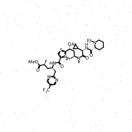 CCN1CCCC[C@@H]1C(=O)N[C@H](C(=O)N(C)[C@H](C[C@@H](OC(C)=O)c1nc(C(=O)N[C@@H](Cc2ncc(C(F)(F)F)cn2)C[C@H](C)C(=O)OC)cs1)C(C)C)C1CC1